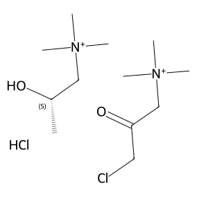 C[C@H](O)C[N+](C)(C)C.C[N+](C)(C)CC(=O)CCl.Cl